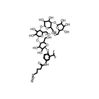 [N-]=[N+]=NCCCC(=O)Nc1ccc(O[C@@H]2OC(CO)[C@@H](O[C@H]3OC(CO)[C@@H](O[C@H]4OC(CO)[C@@H](O[C@H]5OC(CO)[C@@H](O)C(O)C5O)C(O)C4O)C(O)C3O)C(O)C2O)c(C(F)F)c1